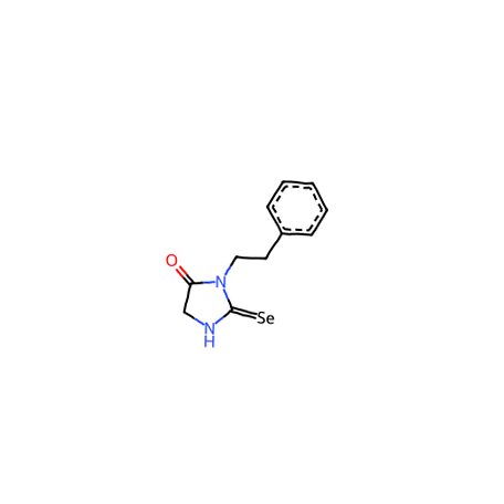 O=C1CNC(=[Se])N1CCc1ccccc1